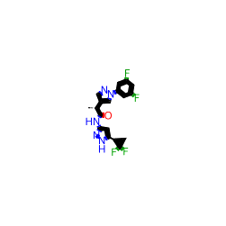 C[C@@H](C(=O)Nc1cc([C@H]2CC2(F)F)[nH]n1)c1cnn(-c2cc(F)cc(F)c2)c1